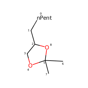 CCCCCCC1COC(C)(C)O1